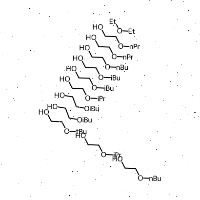 CC(C)(C)OCCO.CC(C)COCCO.CC(C)COCCO.CC(C)OCCO.CC(C)OCCO.CCC(C)OCCO.CCC(C)OCCO.CCCCOCCO.CCCCOCCO.CCCOCCO.CCCOCCO.CCOCC